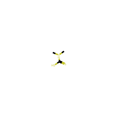 C[SH](C)C(=S)S